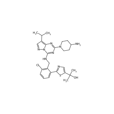 CC(C)c1cnn2c(NCc3c(Cl)cccc3-c3ncc(C(C)(C)O)s3)nc(N3CCC(N)CC3)nc12